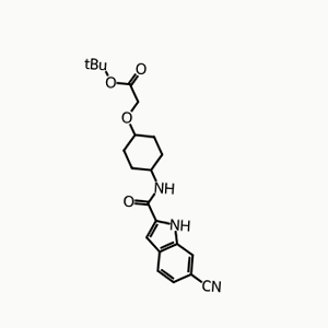 CC(C)(C)OC(=O)COC1CCC(NC(=O)c2cc3ccc(C#N)cc3[nH]2)CC1